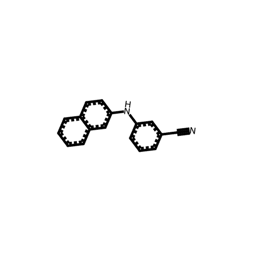 N#Cc1cccc(Nc2ccc3ccccc3c2)c1